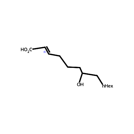 CCCCCCCC(O)CCC/C=C/C(=O)O